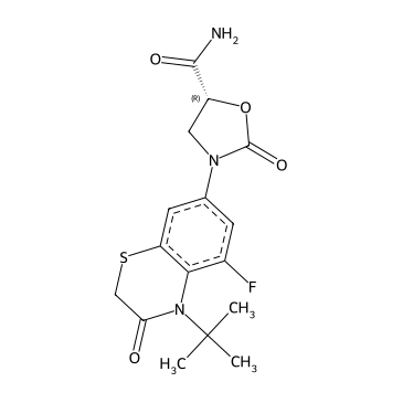 CC(C)(C)N1C(=O)CSc2cc(N3C[C@H](C(N)=O)OC3=O)cc(F)c21